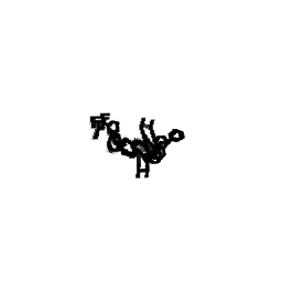 O=C(N[C@H]1Cc2cc(Oc3cccc(C(F)(F)F)c3)ccc2NC1=O)OCc1ccccc1